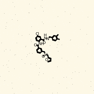 Cc1ccc(/C=N/NC(=O)c2cc(Cl)ccc2NC(=O)c2cccc(C[S+]([O-])Cc3ccco3)c2)cc1C